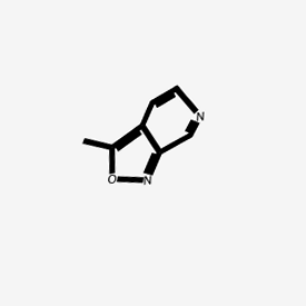 Cc1onc2cnccc12